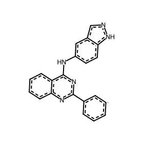 [c]1cccc(-c2nc(Nc3ccc4[nH]ncc4c3)c3ccccc3n2)c1